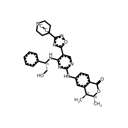 C[C@H]1OC(=O)c2ccc(Nc3ncc(-c4nc(C56CCN(CC5)CC6)no4)c(N[C@H](CO)c4ccccc4)n3)cc2[C@@H]1C